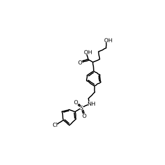 O=C(O)C(CCCO)c1ccc(CCNS(=O)(=O)c2ccc(Cl)cc2)cc1